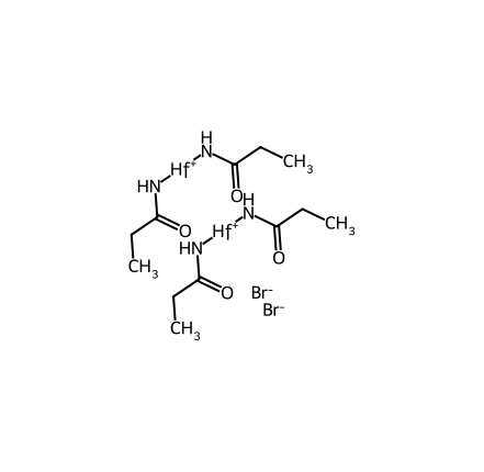 CCC(=O)[NH][Hf+][NH]C(=O)CC.CCC(=O)[NH][Hf+][NH]C(=O)CC.[Br-].[Br-]